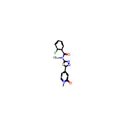 CCCCN(C(=O)C1C=CC=CC1F)c1nnc(-c2ccn(C)c(=O)c2)s1